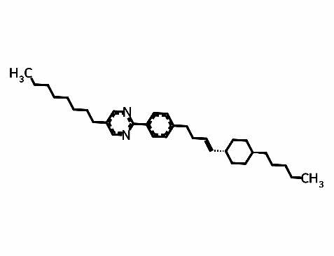 CCCCCCCCc1cnc(-c2ccc(CC/C=C/[C@H]3CC[C@H](CCCCC)CC3)cc2)nc1